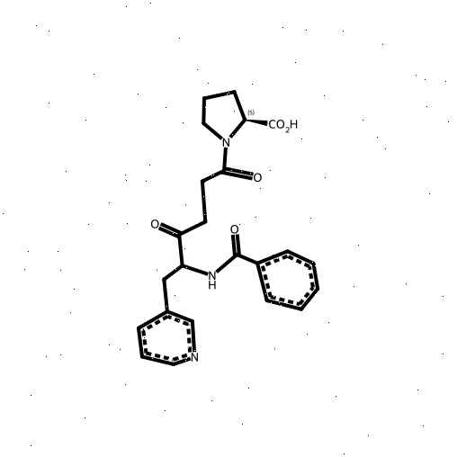 O=C(NC(Cc1cccnc1)C(=O)CCC(=O)N1CCC[C@H]1C(=O)O)c1ccccc1